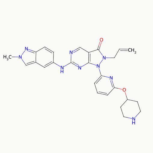 C=CCn1c(=O)c2cnc(Nc3ccc4nn(C)cc4c3)nc2n1-c1cccc(OC2CCNCC2)n1